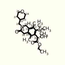 CCOC(=O)[C@@H](O)c1c(C)c2c(c(C)c1[Si](C)(C)C)CN(CC1CCOCC1)C(=O)C2